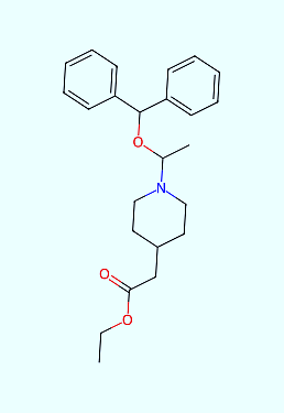 CCOC(=O)CC1CCN(C(C)OC(c2ccccc2)c2ccccc2)CC1